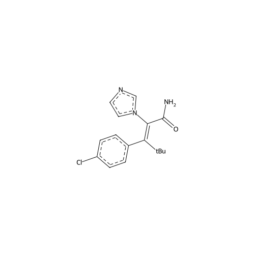 CC(C)(C)C(=C(C(N)=O)n1ccnc1)c1ccc(Cl)cc1